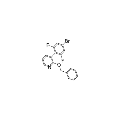 Fc1cc(Br)cc(F)c1-c1cccnc1OCc1ccccc1